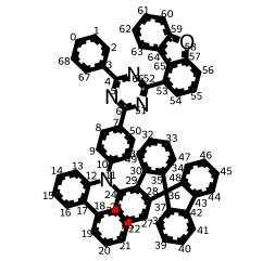 c1ccc(-c2nc(-c3ccc(N(c4ccccc4-c4ccccc4)c4cccc5c4-c4ccccc4C54c5ccccc5-c5ccccc54)cc3)nc(-c3cccc4oc5ccccc5c34)n2)cc1